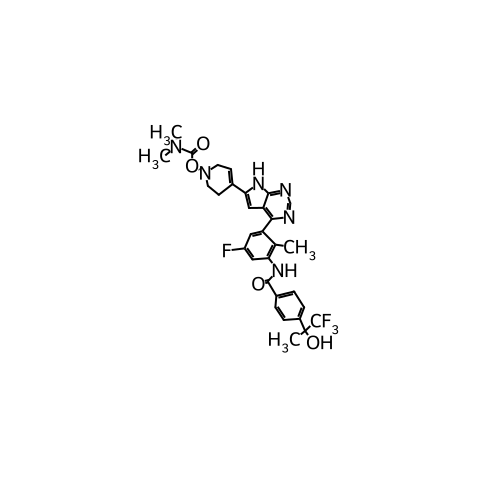 Cc1c(NC(=O)c2ccc(C(C)(O)C(F)(F)F)cc2)cc(F)cc1-c1ncnc2[nH]c(C3=CCN(OC(=O)N(C)C)CC3)cc12